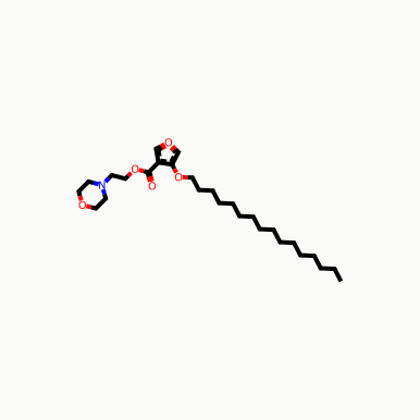 CCCCCCCCCCCCCCCCOc1cocc1C(=O)OCCN1CCOCC1